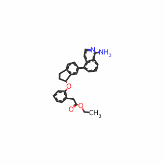 CCOC(=O)Cc1ccccc1O[C@@H]1CCc2ccc(-c3cccc4c(N)nccc34)cc21